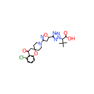 CC(C)(C)C(C(=O)O)n1nnc(C2CC(N3CCC4(CC3)CC(=O)c3c(Cl)cccc3O4)=NO2)n1